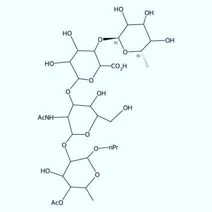 CCCOC1OC(C)C(OC(C)=O)C(O)C1OC1OC(CO)C(O)C(OC2OC(C(=O)O)C(O[C@@H]3O[C@@H](C)C(O)C(O)C3O)C(O)C2O)C1NC(C)=O